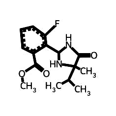 COC(=O)c1cccc(F)c1C1NC(=O)C(C)(C(C)C)N1